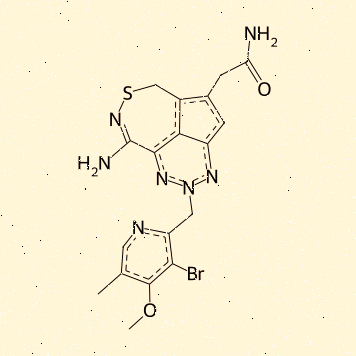 COc1c(C)cnc(Cn2nc3cc(CC(N)=O)c4c-3c(n2)C(N)=NSC4)c1Br